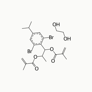 C=C(C)C(=O)OC(C)C(OC(=O)C(=C)C)c1c(Br)cc(C(C)C)cc1Br.OCCO